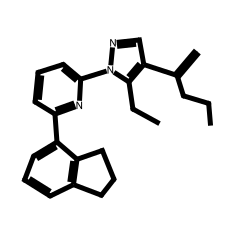 C=C(CCC)c1cnn(-c2cccc(-c3cccc4c3CCC4)n2)c1CC